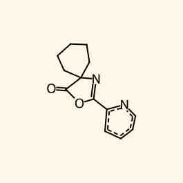 O=C1OC(c2ccccn2)=NC12CCCCC2